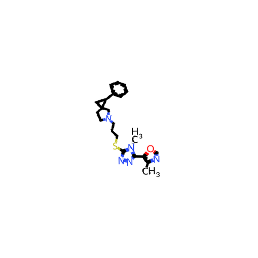 Cc1ncoc1-c1nnc(SCCCN2CCC3(CC3c3ccccc3)C2)n1C